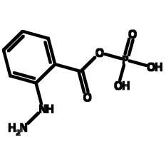 NNc1ccccc1C(=O)OP(=O)(O)O